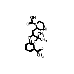 CC(=O)c1cccc(OC(CC2CNCCN2C(=O)O)C(C)(C)C)c1